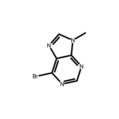 Cn1cnc2c(Br)ncnc21